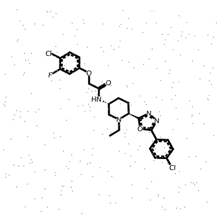 CCN1C[C@H](NC(=O)COc2ccc(Cl)c(F)c2)CC[C@H]1c1nnc(-c2ccc(Cl)cc2)o1